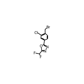 FC(F)c1nnc(-c2ccc(CBr)c(Cl)c2)o1